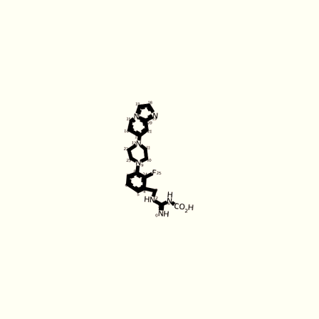 N=C(NCc1cccc(N2CCN(c3ccn4ccnc4c3)CC2)c1F)NC(=O)O